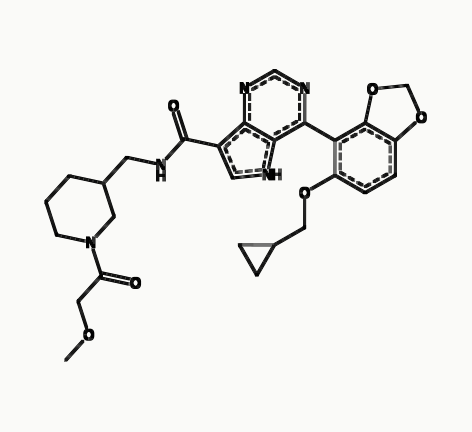 COCC(=O)N1CCCC(CNC(=O)c2c[nH]c3c(-c4c(OCC5CC5)ccc5c4OCO5)ncnc23)C1